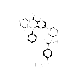 COc1ccc(C(=O)N[C@@H]2CCCN(c3cnc(C(N)=O)c(N(c4ccccc4)N4CCOC[C@H]4F)n3)C2)cc1